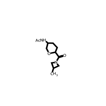 CC(=O)NC1CCC(C(=O)N2CC(C)C2)OC1